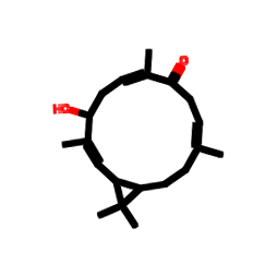 C/C1=C/CC(=O)/C(C)=C\CC(O)/C(C)=C\C2C(CC1)C2(C)C